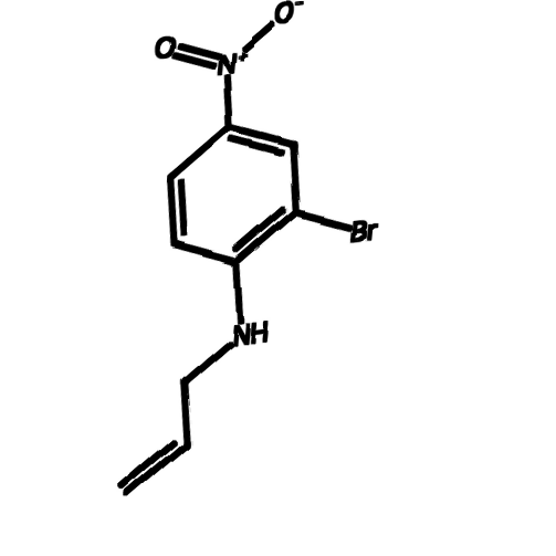 C=CCNc1ccc([N+](=O)[O-])cc1Br